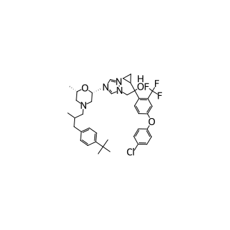 CC(Cc1ccc(C(C)(C)C)cc1)CN1C[C@@H](C)O[C@@H](C)C1.OC(Cn1cncn1)(c1ccc(Oc2ccc(Cl)cc2)cc1C(F)(F)F)C1CC1